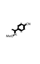 CON=C(C)c1ccc(C#N)cc1